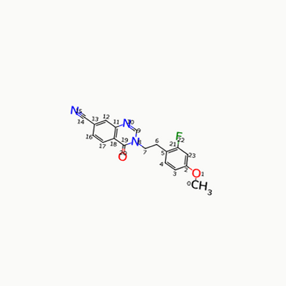 COc1ccc(CCn2cnc3cc(C#N)ccc3c2=O)c(F)c1